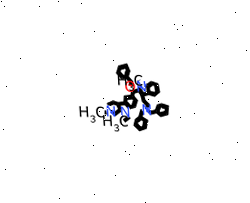 CCN1CCC2c3cc(C(OCc4ccccc4)c4c(CCN(Cc5ccccc5)Cc5ccccc5)c5ccccc5n4C)ccc3N(CC)C2C1